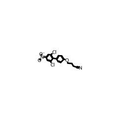 N#CCCCOc1ccc(-c2c(Cl)cc([N+](=O)[O-])cc2Cl)cc1